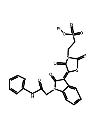 CCOS(=O)(=O)CCN1C(=O)C(=C2C(=O)N(CC(=O)Nc3ccccc3)c3ccccc32)SC1=S